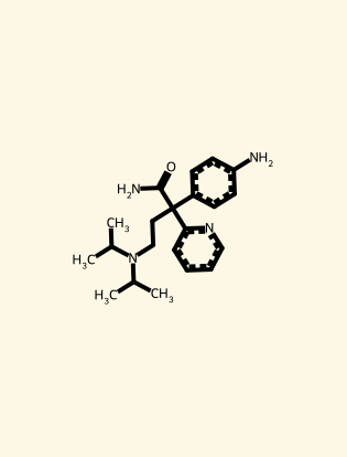 CC(C)N(CCC(C(N)=O)(c1ccc(N)cc1)c1ccccn1)C(C)C